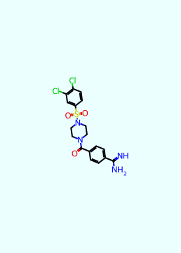 N=C(N)c1ccc(C(=O)N2CCN(S(=O)(=O)c3ccc(Cl)c(Cl)c3)CC2)cc1